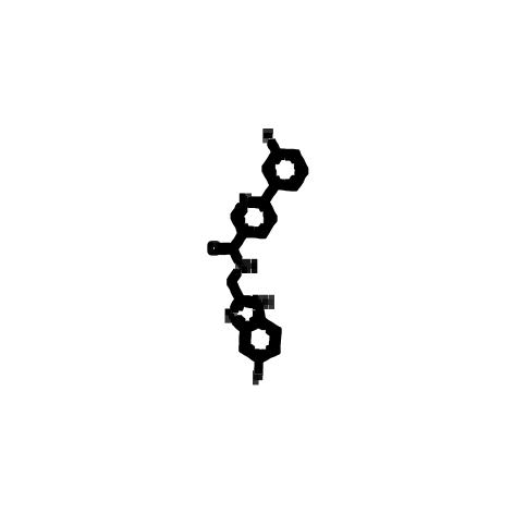 O=C(NCc1nc2cc(F)ccc2[nH]1)c1ccc(-c2cccc(F)c2)nc1